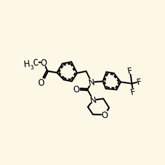 COC(=O)c1ccc(CN(C(=O)N2CCOCC2)c2ccc(C(F)(F)F)cc2)cc1